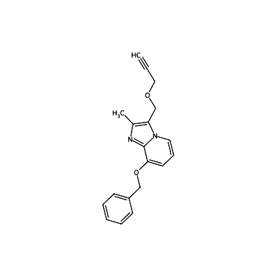 C#CCOCc1c(C)nc2c(OCc3ccccc3)cccn12